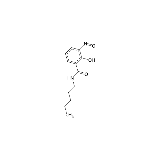 CCCCCNC(=O)c1cccc(N=O)c1O